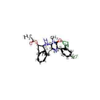 CC(=O)OC1Cc2ccccc2C1Nc1c(C)nc(-c2ccc(Cl)cc2Cl)c(=O)n1C